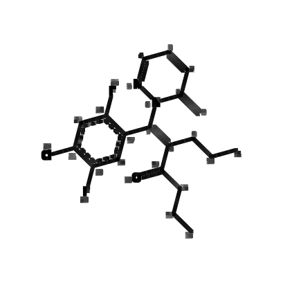 C=C1C=CC=NN1/C(=C(\CCC)C(=O)CCC)c1cc(F)c(Cl)cc1F